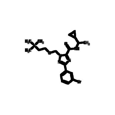 CC(NC(=O)c1nc(-c2cccc(Br)c2)nn1COCC[Si](C)(C)C)C1CC1